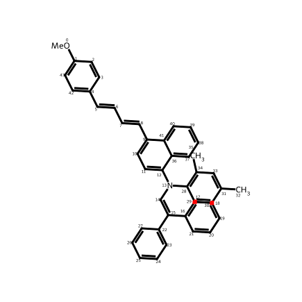 COc1ccc(/C=C/C=C/c2ccc(N(C=C(c3ccccc3)c3ccccc3)c3ccc(C)cc3C)c3ccccc23)cc1